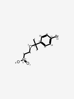 CC(C)(OCC[N+](=O)[O-])c1ccc(Br)cc1